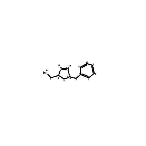 CC(=O)CC1CN(Cc2ccccc2)N=N1